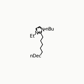 CCCCCCCCCCCCCCCc1n(CCCC)cc[n+]1CC